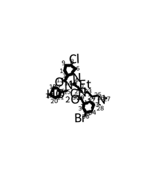 CCC(C(=O)O)(c1nc2cc(Cl)ccc2c(=O)n1Cc1ccccc1)N(CCCN(C)C)C(=O)c1cccc(Br)c1